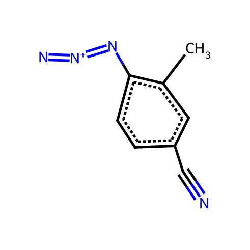 Cc1cc(C#N)ccc1N=[N+]=[N-]